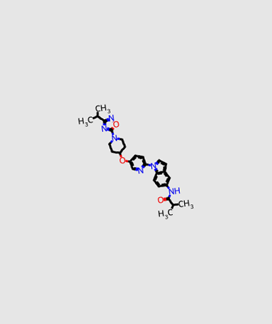 CC(C)C(=O)Nc1ccc2c(ccn2-c2ccc(OC3CCN(c4nc(C(C)C)no4)CC3)cn2)c1